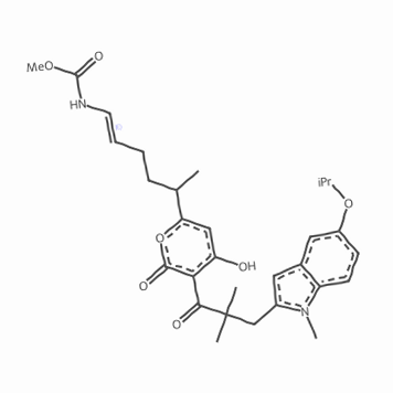 COC(=O)N/C=C/CCC(C)c1cc(O)c(C(=O)C(C)(C)Cc2cc3cc(OC(C)C)ccc3n2C)c(=O)o1